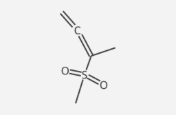 C=C=C(C)S(C)(=O)=O